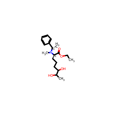 CCOC(=O)[C@@H](CCCC(O)C(C)O)N(C)[C@@H](C)c1ccccc1